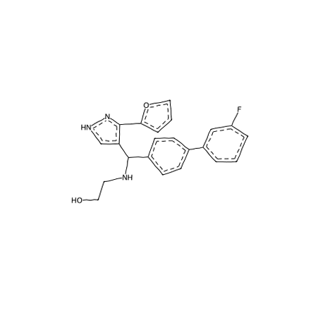 OCCNC(c1ccc(-c2cccc(F)c2)cc1)c1c[nH]nc1-c1ccco1